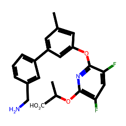 Cc1cc(Oc2nc(OC(C)C(=O)O)c(F)cc2F)cc(-c2cccc(CN)c2)c1